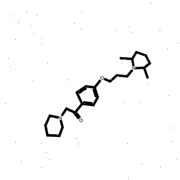 CC1CCCC(C)N1CCCOc1ccc(C(=O)CN2CCCCC2)cc1